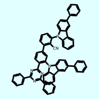 N#Cc1c(-c2ccc(-c3nc(-c4ccccc4)nc(-c4ccccc4)n3)c(-n3c4ccccc4c4cc(-c5ccccc5)ccc43)c2)cccc1-n1c2ccccc2c2cc(-c3ccccc3)ccc21